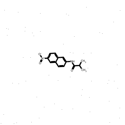 CC(C)C(=O)Nc1ccc2cc([N+](=O)[O-])ccc2c1